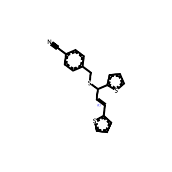 N#Cc1ccc(CSC(/C=C/c2cccs2)c2cccs2)cc1